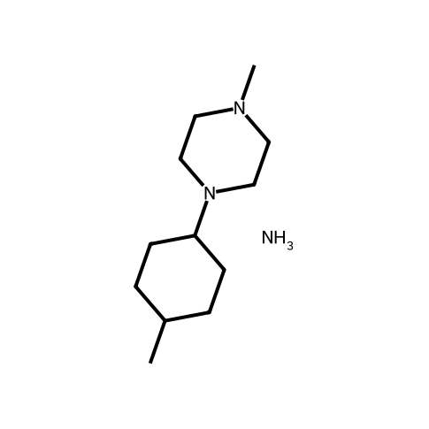 CC1CCC(N2CCN(C)CC2)CC1.N